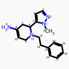 Cn1nccc1C1CC(N)=CCN1CCc1ccccc1